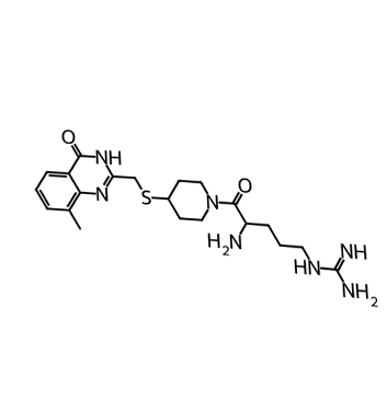 Cc1cccc2c(=O)[nH]c(CSC3CCN(C(=O)C(N)CCCNC(=N)N)CC3)nc12